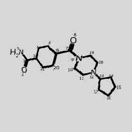 NC(=O)C1CCC(C(=O)N2CCN(C3CCCC3)CC2)CC1